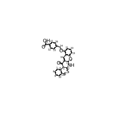 O=C1NC(=S)C(c2ccccc2F)C(=O)/C1=C/c1ccccc1OCc1ccc(C(=O)O)cc1